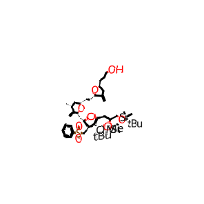 C=C1C[C@H](CCCO)O[C@H]1CC[C@H]1C[C@@H](C)C(=C)[C@@H](C[C@@H]2OC(CC(CO[Si](C)(C)C(C)(C)C)O[Si](C)(C)C(C)(C)C)[C@H](OC)[C@H]2CS(=O)(=O)c2ccccc2)O1